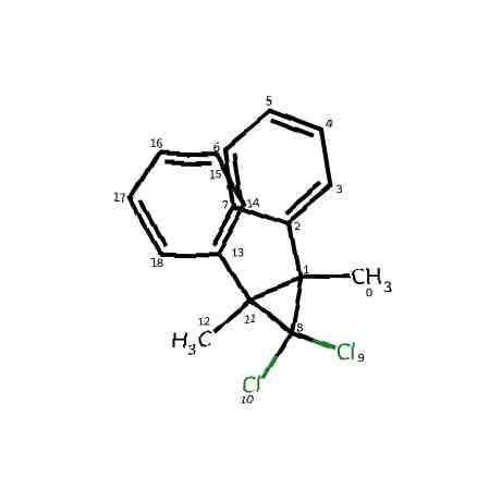 CC1(c2ccccc2)C(Cl)(Cl)C1(C)c1ccccc1